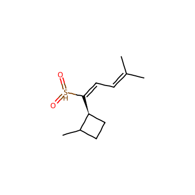 CC(C)=C/C=C(\[C@H]1CCC1C)[SH](=O)=O